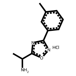 Cc1cccc(-c2noc(C(C)N)n2)c1.Cl